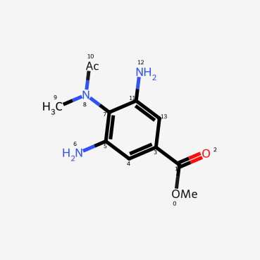 COC(=O)c1cc(N)c(N(C)C(C)=O)c(N)c1